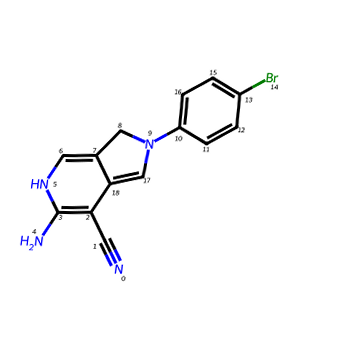 N#CC1=C(N)NC=C2CN(c3ccc(Br)cc3)C=C21